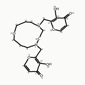 O=c1ccoc(CN2CCCOCCCN(Cc3occc(=O)c3O)CC2)c1O